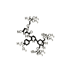 [2H]C1C([2H])C2(CO[Si](C)(C)C(C)(C)C)CC(c3ccc(NC(=O)c4nc(C#N)cn4COCC[Si](C)(C)C)c(C4=CCC(C)(C)CC4)n3)=CC1(CO[Si](C)(C)C(C)(C)C)O2